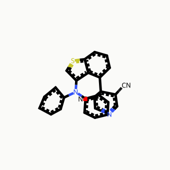 N#Cc1cncc(C#N)c1-c1cccc2scc(N(c3ccccc3)c3ccccc3)c12